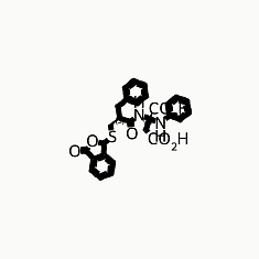 O=C(O)C[C@@](NC(=O)[C@@H](CSC1OC(=O)c2ccccc21)Cc1ccccc1)(Nc1ccccc1)C(=O)O